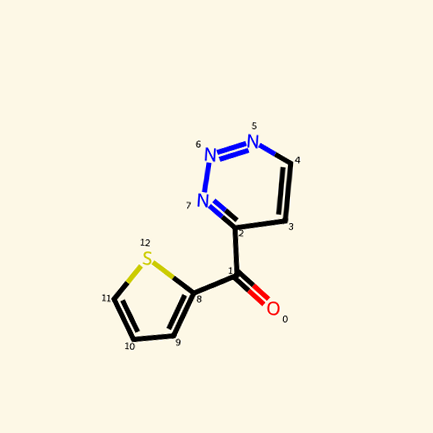 O=C(c1ccnnn1)c1cccs1